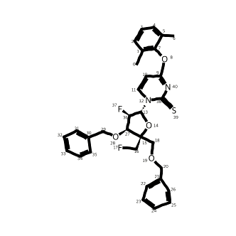 Cc1cccc(C)c1Oc1ccn([C@@H]2O[C@](CF)(COCc3ccccc3)[C@@H](OCc3ccccc3)[C@H]2F)c(=S)n1